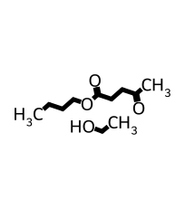 CCCCOC(=O)CCC(C)=O.CCO